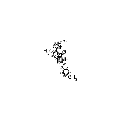 CCCc1noc(C2=C(C)CS[C@@H]3[C@H](NC(=O)CCc4ccc(C)cc4)C(=O)N23)n1